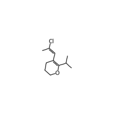 C/C(Cl)=C\C1=C(C(C)C)OCCC1